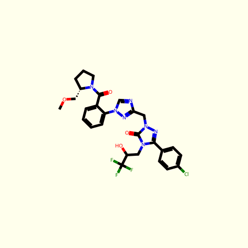 COC[C@@H]1CCCN1C(=O)c1ccccc1-n1cnc(Cn2nc(-c3ccc(Cl)cc3)n(CC(O)C(F)(F)F)c2=O)n1